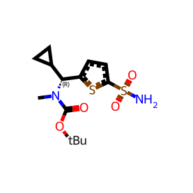 CN(C(=O)OC(C)(C)C)[C@@H](c1ccc(S(N)(=O)=O)s1)C1CC1